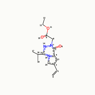 C=Cc1cc2c(=O)n(CC(=O)OCC)nc(C(C)C)n2c1